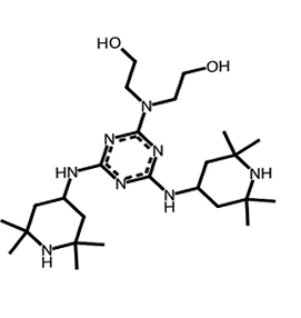 CC1(C)CC(Nc2nc(NC3CC(C)(C)NC(C)(C)C3)nc(N(CCO)CCO)n2)CC(C)(C)N1